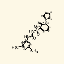 Cc1nc(C)nc(NC(=O)NS(=O)(=O)C2=CC=CC(n3cccc3)C2=S)n1